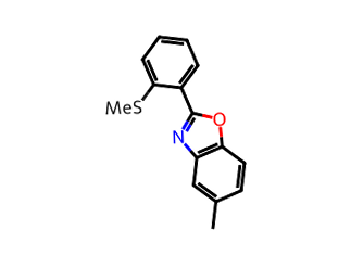 CSc1ccccc1-c1nc2cc(C)ccc2o1